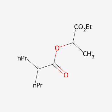 CCCC(CCC)C(=O)OC(C)C(=O)OCC